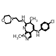 CC1C=C(Nc2ccc(Cl)cc2)c2cnn(C)c2N=C1NCCN1CCOCC1